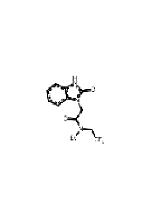 CCN(CC(F)(F)F)C(=O)Cn1c(=O)[nH]c2ccccc21